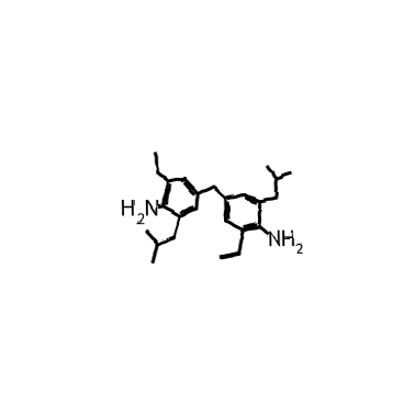 CCc1cc(Cc2cc(CC)c(N)c(CC(C)C)c2)cc(CC(C)C)c1N